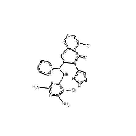 N#Cc1c(N)nc(N)nc1NC(c1ccccc1)c1nc2cccc(Cl)c2c(=O)n1-c1cc[nH]n1